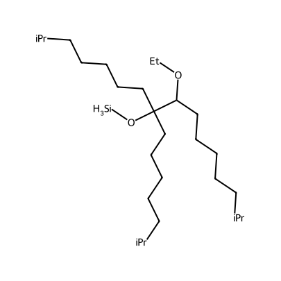 CCOC(CCCCCC(C)C)C(CCCCCC(C)C)(CCCCCC(C)C)O[SiH3]